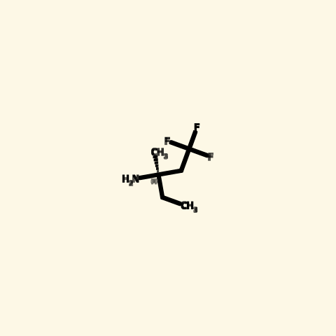 CC[C@@](C)(N)CC(F)(F)F